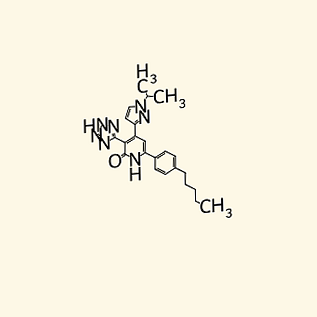 CCCCCc1ccc(-c2cc(-c3ccn(C(C)C)n3)c(-c3nn[nH]n3)c(=O)[nH]2)cc1